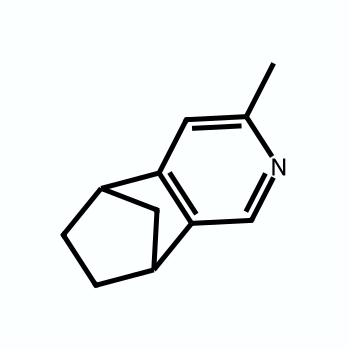 Cc1cc2c(cn1)C1CCC2C1